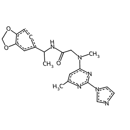 Cc1cc(N(C)CC(=O)NC(C)c2ccc3c(c2)OCO3)nc(-n2ccnc2)n1